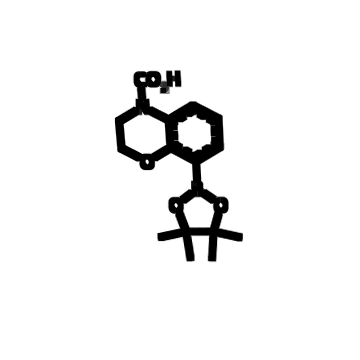 CC1(C)OB(c2cccc3c2OCCN3C(=O)O)OC1(C)C